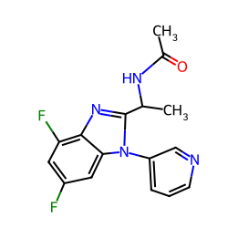 CC(=O)NC(C)c1nc2c(F)cc(F)cc2n1-c1cccnc1